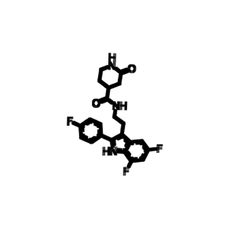 O=C1CC(C(=O)NCCc2c(-c3ccc(F)cc3)[nH]c3c(F)cc(F)cc23)CCN1